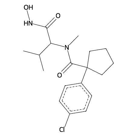 CC(C)C(C(=O)NO)N(C)C(=O)C1(c2ccc(Cl)cc2)CCCC1